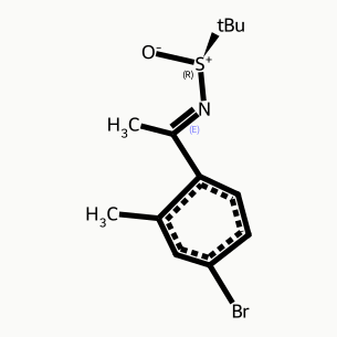 C/C(=N\[S@@+]([O-])C(C)(C)C)c1ccc(Br)cc1C